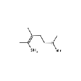 CCCN(C)CCC(C)=C(C)[SiH3]